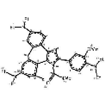 CCN(CC)c1ccc(-c2nc(-c3ccc(N(CC)CC)c(OC)c3)n(C(=O)NC)c2-c2ccc(N(CC)CC)cc2C)c(C)c1